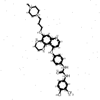 CN1CCN(CCCOc2cc3nccc(Oc4ccc(NC(=O)Nc5ccc(Cl)c(C(F)(F)F)c5)cc4)c3c3c2OCCO3)CC1